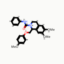 COc1ccc(OCC2c3cc(OC)c(OC)cc3CCN2C(=O)Nc2ccccc2)cc1